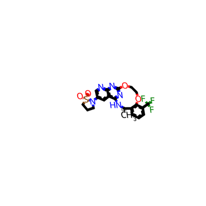 C[C@H]1Nc2nc(nc3ncc(N4CCCS4(=O)=O)cc23)OCCOc2c1cccc2C(F)(F)F